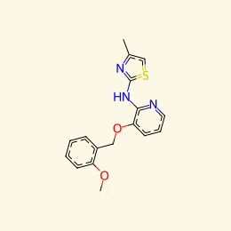 COc1ccccc1COc1cccnc1Nc1nc(C)cs1